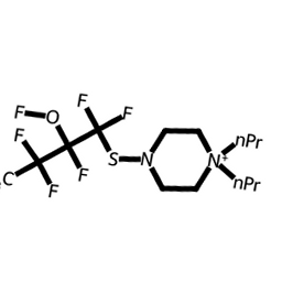 CCC[N+]1(CCC)CCN(SC(F)(F)C(F)(OF)C(F)(F)C(F)(F)F)CC1